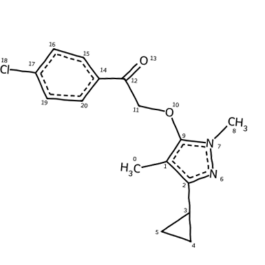 Cc1c(C2CC2)nn(C)c1OCC(=O)c1ccc(Cl)cc1